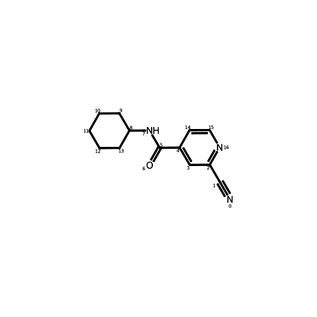 N#Cc1cc(C(=O)NC2CCCCC2)ccn1